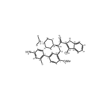 COc1ccc(-c2ccc(N)nc2C)cc1CN(C(=O)c1sc2ccccc2c1Cl)[C@H]1CC[C@H](N(C)C)CC1